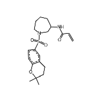 C=CC(=O)NC1CCCCN(S(=O)(=O)c2ccc3c(c2)CCC(C)(C)O3)C1